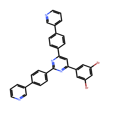 Brc1cc(Br)cc(-c2cc(-c3ccc(-c4cccnc4)cc3)nc(-c3ccc(-c4cccnc4)cc3)n2)c1